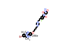 COc1cc2c(N[C@H](C)c3cccc(Br)c3)nc(C)nc2cc1OCCCCCCN1CCN(CCCc2cc3c(cc2F)C(=O)N(C2CCC(=O)NC2=O)C3)CC1